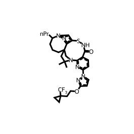 CCCC1CCCC23CN(c4nc(-n5ccc(OCCC6(C(F)(F)F)CC6)n5)ccc4C(=O)NSc4cn1nc42)C(C)(C)C3